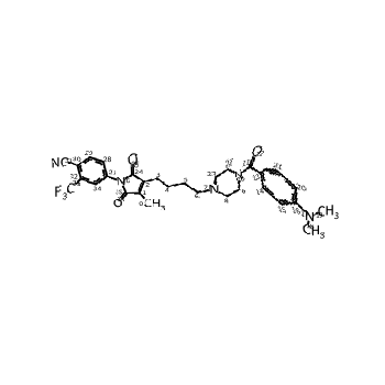 CC1=C(CCCCN2CCN(C(=O)c3ccc(N(C)C)cc3)CC2)C(=O)N(c2ccc(C#N)c(C(F)(F)F)c2)C1=O